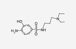 CCN(CC)CCCNS(=O)(=O)c1ccc(N)c(O)c1